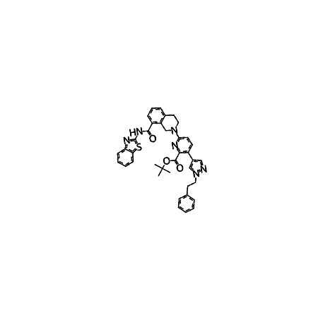 CC(C)(C)OC(=O)c1nc(N2CCc3cccc(C(=O)Nc4nc5ccccc5s4)c3C2)ccc1-c1cnn(CCc2ccccc2)c1